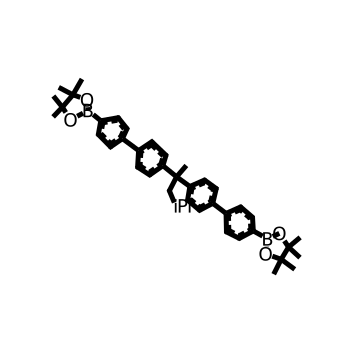 CC(C)CC(C)(c1ccc(-c2ccc(B3OC(C)(C)C(C)(C)O3)cc2)cc1)c1ccc(-c2ccc(B3OC(C)(C)C(C)(C)O3)cc2)cc1